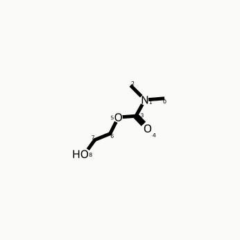 CN(C)C(=O)OCCO